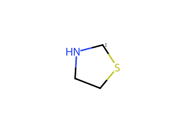 [C]1NCCS1